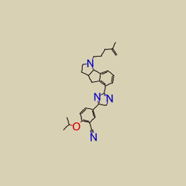 C=C(C)CCCN1CCC2Cc3c(C4=NCC(c5ccc(OC(C)C)c(C#N)c5)=N4)cccc3C21